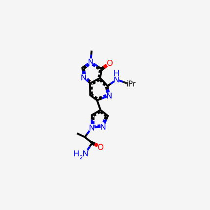 CC(C)Nc1nc(-c2cnn(C(C)C(N)=O)c2)cc2ncn(C)c(=O)c12